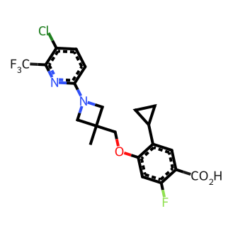 CC1(COc2cc(F)c(C(=O)O)cc2C2CC2)CN(c2ccc(Cl)c(C(F)(F)F)n2)C1